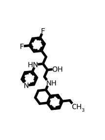 CCc1ccc2c(c1)C(NCC(O)C(Cc1cc(F)cc(F)c1)Nc1ccncc1)CCC2